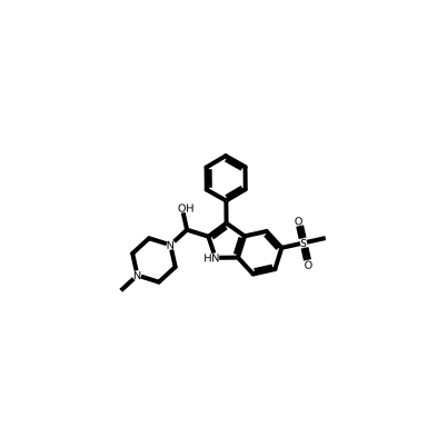 CN1CCN(C(O)c2[nH]c3ccc(S(C)(=O)=O)cc3c2-c2ccccc2)CC1